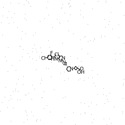 CC(Nc1nc(N2CC([C@H]3CCCN([C@H]4C[C@](C)(C(=O)O)C4)C3)C2)ncc1Cl)c1ccc(Cl)cc1F